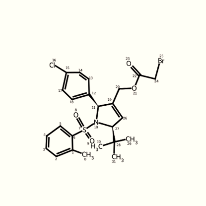 Cc1ccccc1S(=O)(=O)N1[C@@H](c2ccc(Cl)cc2)C(COC(=O)CBr)=C[C@H]1C(C)(C)C